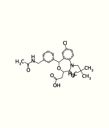 CC(=O)NCc1cccc(C2OC(CC(=O)O)C(=O)N(CC(C)(C)C)c3ccc(Cl)cc32)c1